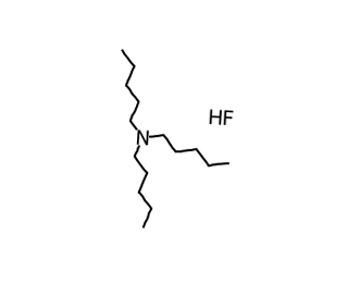 CCCCCN(CCCCC)CCCCC.F